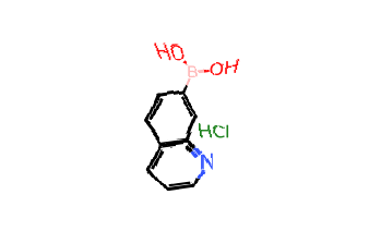 Cl.OB(O)c1ccc2cccnc2c1